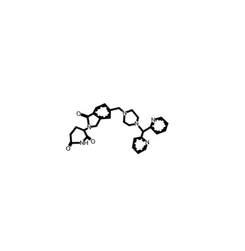 O=C1CCC(N2Cc3cc(CN4CCN(C(c5ccccn5)c5ccccn5)CC4)ccc3C2=O)C(=O)N1